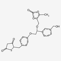 Cc1oc(=O)oc1COC(COc1ccc(CC2SC(=O)CC2=O)cc1)c1cccc(CO)c1